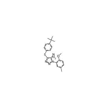 COc1ccc(C)cc1-n1nnc(Sc2ccc(C(C)(C)C)cc2)c1N